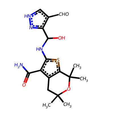 CC1(C)Cc2c(sc(NC(O)c3n[nH]cc3C=O)c2C(N)=O)C(C)(C)O1